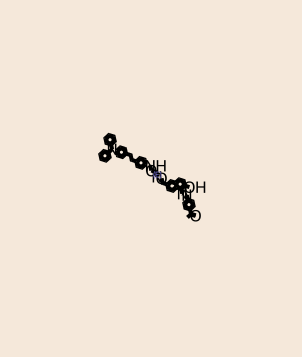 CC(=O)c1ccc(N=Nc2c(O)ccc3cc(CO/N=C/ONc4ccc(CCc5ccc(N(c6ccccc6)c6ccccc6)cc5)cc4)ccc23)cc1